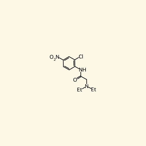 CCN(CC)CC(=O)Nc1ccc([N+](=O)[O-])cc1Cl